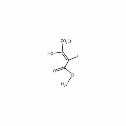 BOC(=O)/C(F)=C(\O)C(=O)OCC